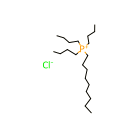 CCCCCCCCC[P+](CCCC)(CCCC)CCCC.[Cl-]